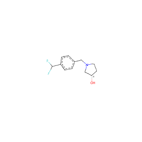 O[C@H]1CCN(Cc2ccc(C(F)F)cc2)C1